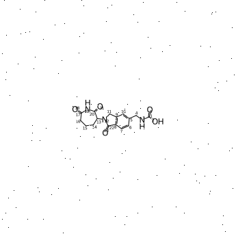 O=C(O)NCc1ccc2c(c1)CN(C1CCCC(=O)NC1=O)C2=O